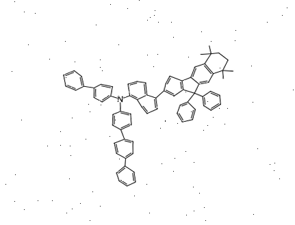 CC1(C)CCC(C)(C)c2cc3c(cc21)-c1ccc(-c2cccc4c(N(c5ccc(-c6ccccc6)cc5)c5ccc(-c6ccc(-c7ccccc7)cc6)cc5)cccc24)cc1C3(c1ccccc1)c1ccccc1